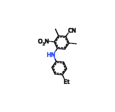 [CH2]Cc1ccc(Nc2cc(C)c(C#N)c(C)c2[N+](=O)[O-])cc1